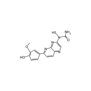 COc1cc(-c2ccc3ncc(N(S)C(N)=O)nc3n2)ccc1O